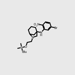 CC(C)(C)[Si](C)(C)OCCN1CC2(Nc3cc(Br)ccc3[N+](=O)[O-])CCCC1C2